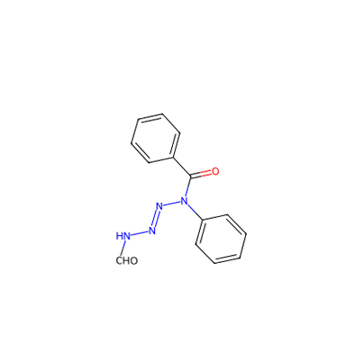 O=CNN=NN(C(=O)c1ccccc1)c1ccccc1